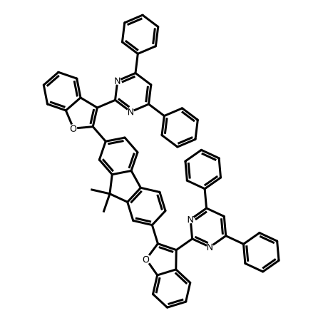 CC1(C)c2cc(-c3oc4ccccc4c3-c3nc(-c4ccccc4)cc(-c4ccccc4)n3)ccc2-c2ccc(-c3oc4ccccc4c3-c3nc(-c4ccccc4)cc(-c4ccccc4)n3)cc21